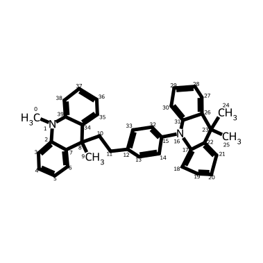 CN1c2ccccc2C(C)(CCc2ccc(N3c4ccccc4C(C)(C)c4ccccc43)cc2)c2ccccc21